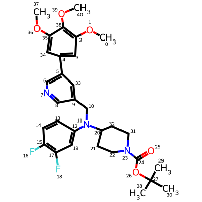 COc1cc(-c2cncc(CN(c3ccc(F)c(F)c3)C3CCN(C(=O)OC(C)(C)C)CC3)c2)cc(OC)c1OC